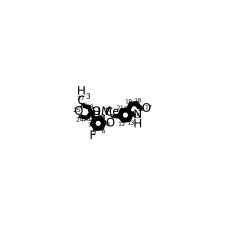 CO[C@]1(c2cc(F)cc(OC(C)c3ccc4[nH]c(=O)ccc4c3)c2)CCO[C@@H](C)C1